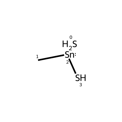 S.[CH3][Sn][SH]